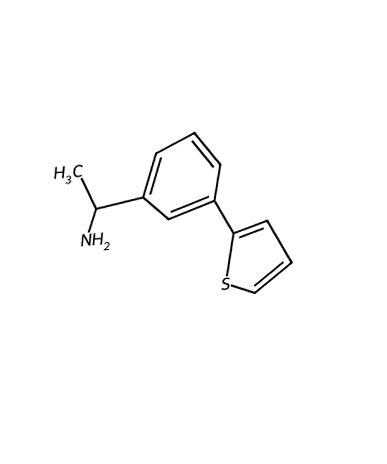 CC(N)c1cccc(-c2cccs2)c1